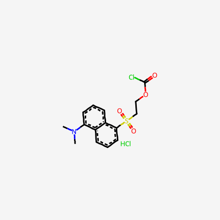 CN(C)c1cccc2c(S(=O)(=O)CCOC(=O)Cl)cccc12.Cl